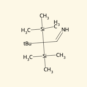 CC(C)(C)C(C=N)([Si](C)(C)C)[Si](C)(C)C